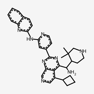 CC1(C)CNCCC1C(N)c1nc(-c2ccnc(Nc3ccc4ccccc4n3)c2)nc2cncc(C3CCC3)c12